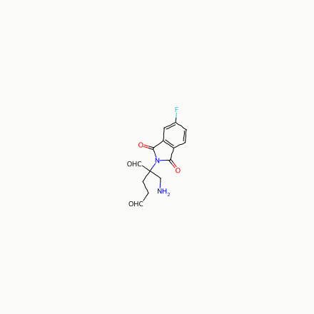 NCC(C=O)(CCC=O)N1C(=O)c2ccc(F)cc2C1=O